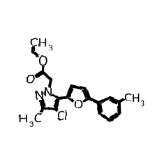 CCOC(=O)Cn1nc(C)c(Cl)c1-c1ccc(-c2cccc(C)c2)o1